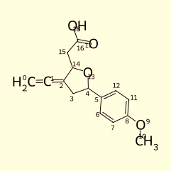 C=C=C1CC(c2ccc(OC)cc2)OC1CC(=O)O